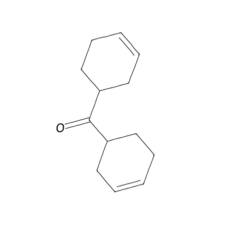 O=C(C1CC=CCC1)C1CC=CCC1